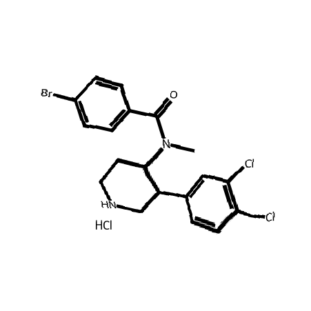 CN(C(=O)c1ccc(Br)cc1)C1CCNCC1c1ccc(Cl)c(Cl)c1.Cl